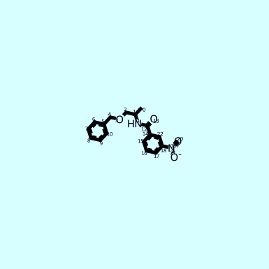 CC(COCc1ccccc1)NC(=O)c1cccc([N+](=O)[O-])c1